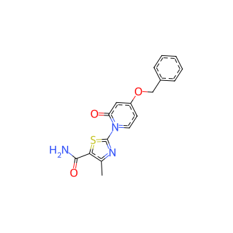 Cc1nc(-n2ccc(OCc3ccccc3)cc2=O)sc1C(N)=O